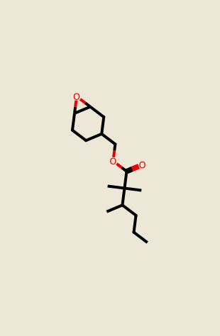 CCCC(C)C(C)(C)C(=O)OCC1CCC2OC2C1